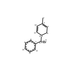 Br.CC1=CCN(Cc2ccccc2)C=C1